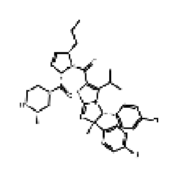 CCC[C@@H]1C=C[C@@H](C(=O)N2CCN[C@H](C)C2)N1C(=O)C1=C(C(C)C)N2C(=N[C@@](C)(c3ccc(Cl)cc3)[C@H]2c2ccc(Cl)cc2)S1